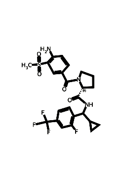 CS(=O)(=O)c1cc(C(=O)N2CCC[C@@H]2C(=O)NC(c2ccc(C(F)(F)F)cc2F)C2CC2)ccc1N